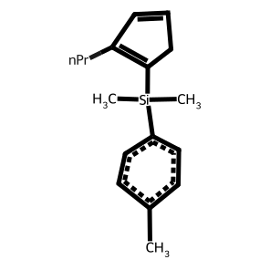 CCCC1=C([Si](C)(C)c2ccc(C)cc2)CC=C1